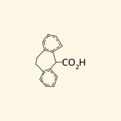 O=C(O)C1c2ccccc2CCc2ccccc21